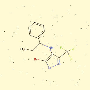 CCC(NC1=C(Br)[N]N=C1C(F)(F)F)c1ccccc1